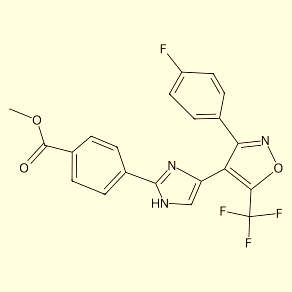 COC(=O)c1ccc(-c2nc(-c3c(-c4ccc(F)cc4)noc3C(F)(F)F)c[nH]2)cc1